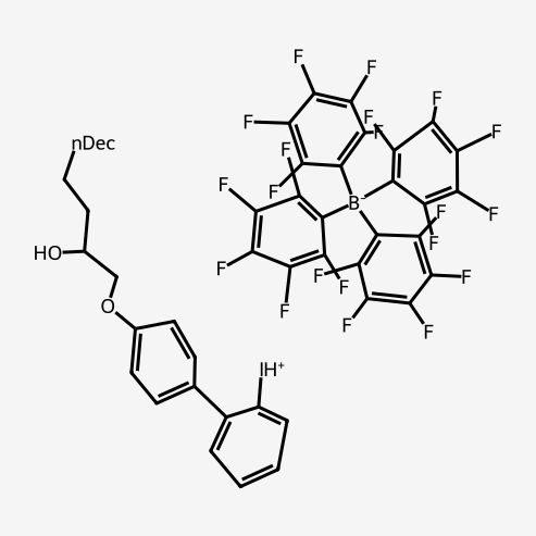 CCCCCCCCCCCCC(O)COc1ccc(-c2ccccc2[IH+])cc1.Fc1c(F)c(F)c([B-](c2c(F)c(F)c(F)c(F)c2F)(c2c(F)c(F)c(F)c(F)c2F)c2c(F)c(F)c(F)c(F)c2F)c(F)c1F